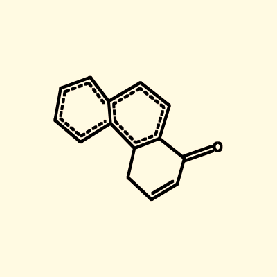 O=C1C=CCc2c1ccc1ccccc21